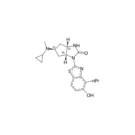 CCCc1c(O)ccc2sc(N3C(=O)N[C@H]4C[C@H](N(C)C5CC5)C[C@H]43)nc12